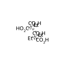 CCC(C)(C(=O)O)C(=O)O.CCC(CC)(C(=O)O)C(=O)O